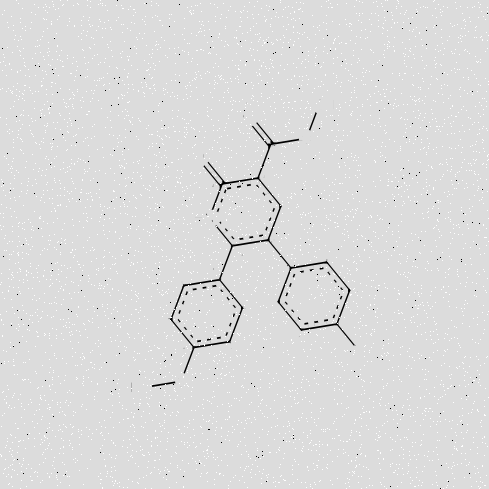 COC(=O)c1cc(-c2ccc(F)cc2)c(-c2ccc(SC)cc2)[nH]c1=O